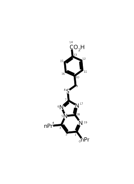 CCCc1cc(CCC)n2nc(SCc3ccc(C(=O)O)cc3)nc2n1